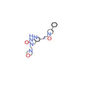 O=C(/C=C/c1cnc2c(c1)CN(CCN1CCOCC1)C(=O)N2)N1CC=C(c2ccccc2)CC1